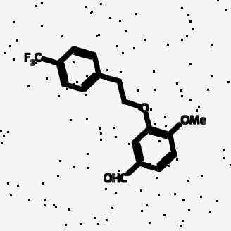 COc1ccc(C=O)cc1OCCc1ccc(C(F)(F)F)cc1